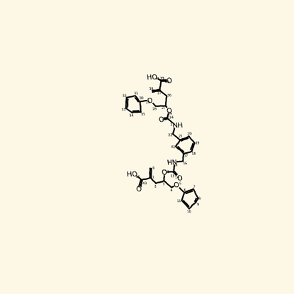 C=C(CC(COc1ccccc1)OC(=O)NCc1cccc(CNC(=O)OC(COc2ccccc2)CC(=C)C(=O)O)c1)C(=O)O